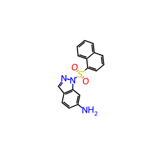 Nc1ccc2cnn(S(=O)(=O)c3cccc4ccccc34)c2c1